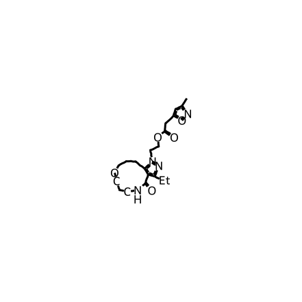 CCc1nn(CCOC(=O)Cc2cc(C)no2)c2c1C(=O)NCCCOCCC2